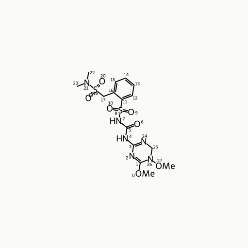 COC1=NC(NC(=O)NS(=O)(=O)c2ccccc2CS(=O)(=O)N(C)C)=NCN1OC